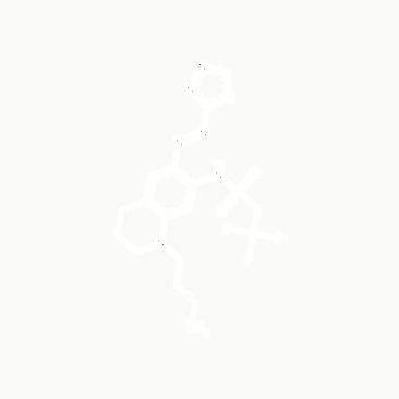 CCCCN1CCCc2cc(N=Nc3nncs3)c(NS(=O)(=O)CC(F)(F)F)cc21